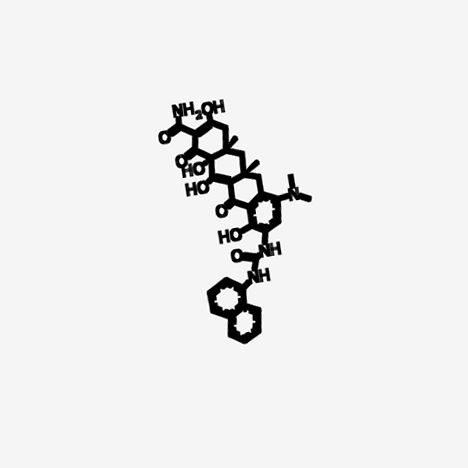 CN(C)c1cc(NC(=O)Nc2cccc3ccccc23)c(O)c2c1C[C@@]1(C)C[C@@]3(C)CC(O)=C(C(N)=O)C(=O)[C@@]3(O)C(O)=C1C2=O